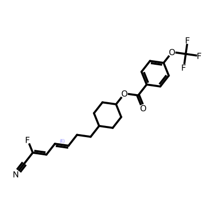 N#CC(F)=C/C=C/CCC1CCC(OC(=O)c2ccc(OC(F)(F)F)cc2)CC1